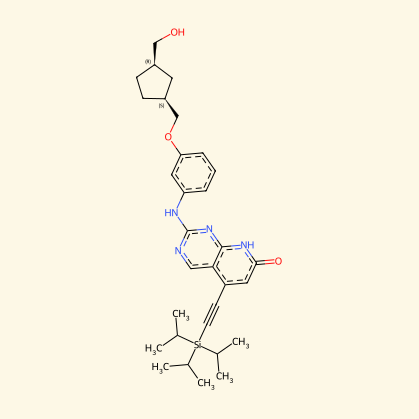 CC(C)[Si](C#Cc1cc(=O)[nH]c2nc(Nc3cccc(OC[C@H]4CC[C@@H](CO)C4)c3)ncc12)(C(C)C)C(C)C